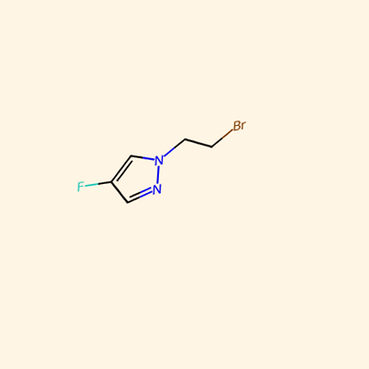 Fc1cnn(CCBr)c1